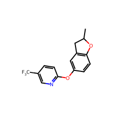 CC1Cc2cc(Oc3ccc(C(F)(F)F)cn3)ccc2O1